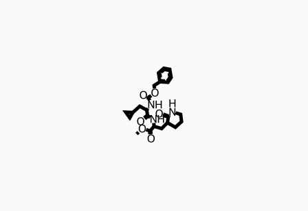 COC(=O)C(CC1CCCNC1=O)NC(=O)C(CC1CC1)NC(=O)OCc1ccccc1